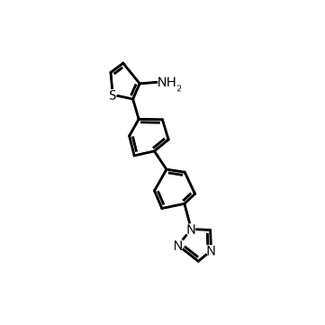 Nc1ccsc1-c1ccc(-c2ccc(-n3cncn3)cc2)cc1